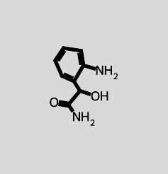 NC(=O)C(O)c1ccccc1N